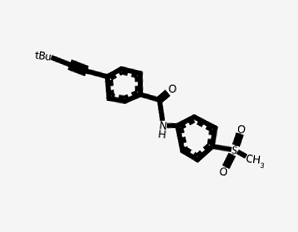 CC(C)(C)C#Cc1ccc(C(=O)Nc2ccc(S(C)(=O)=O)cc2)cc1